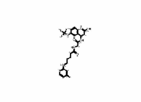 Cc1ccnc(NCCCCC(=O)NCC(=O)NC(CC(=O)O)c2cccc(OC(F)(F)F)c2)c1